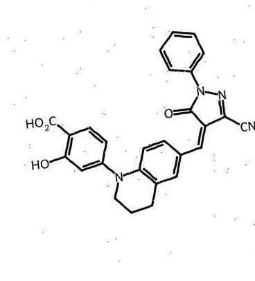 N#CC1=NN(c2ccccc2)C(=O)/C1=C\c1ccc2c(c1)CCCN2c1ccc(C(=O)O)c(O)c1